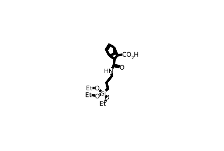 CCO[Si](CCCNC(=O)C1C2C=CC(C2)C1C(=O)O)(OCC)OCC